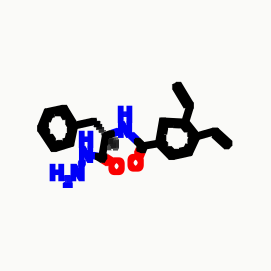 C=Cc1ccc(C(=O)N[C@@H](Cc2ccccc2)C(=O)NN)cc1C=C